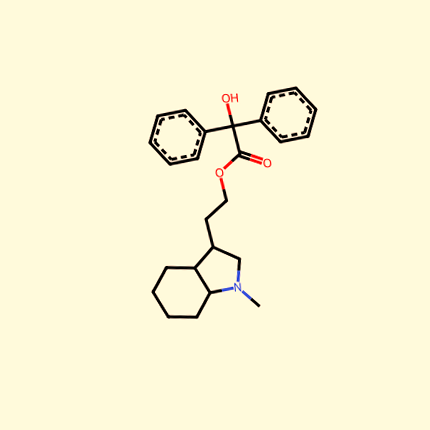 CN1CC(CCOC(=O)C(O)(c2ccccc2)c2ccccc2)C2CCCCC21